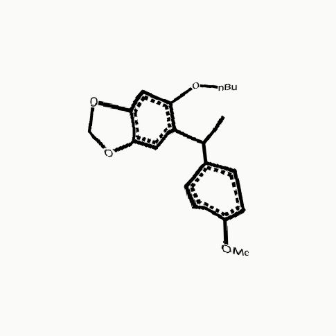 CCCCOc1cc2c(cc1C(C)c1ccc(OC)cc1)OCO2